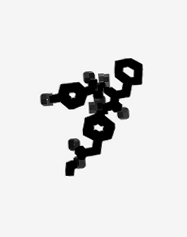 CCOC(=O)Cc1ccc(NC(=O)C(CC2CCCCC2)NS(=O)(=O)c2ccc(Cl)cc2)cc1